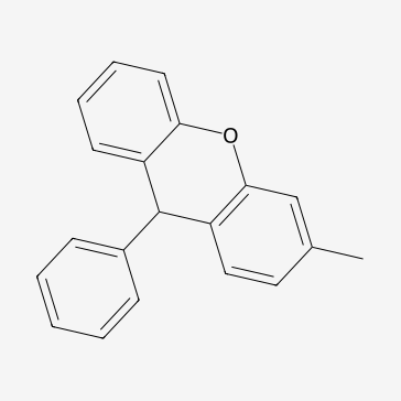 Cc1ccc2c(c1)Oc1ccccc1C2c1ccccc1